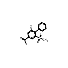 CS(=O)(=O)c1cc(C(=O)S)cc(Cl)c1-c1ccccc1